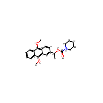 COc1c2ccccc2c(OC)c2cc(C(C)OC(=O)N3CCCCC3)ccc12